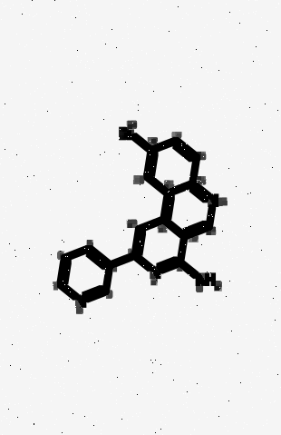 Nc1nc(-c2cccnc2)cc2c1cnc1ccc(Br)cc12